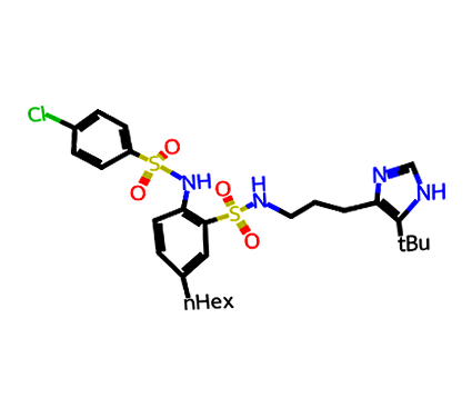 CCCCCCc1ccc(NS(=O)(=O)c2ccc(Cl)cc2)c(S(=O)(=O)NCCCc2nc[nH]c2C(C)(C)C)c1